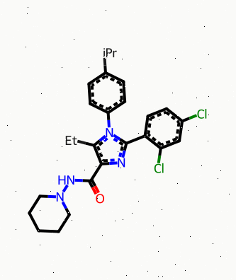 CCc1c(C(=O)NN2CCCCC2)nc(-c2ccc(Cl)cc2Cl)n1-c1ccc(C(C)C)cc1